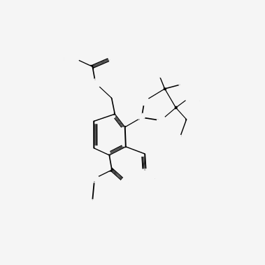 C=Cc1c(C(=O)OC)ccc(COC(C)=O)c1B1OC(C)(C)C(C)(CC)O1